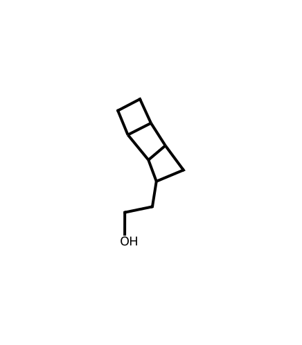 OCCC1CC2C3CCC3C12